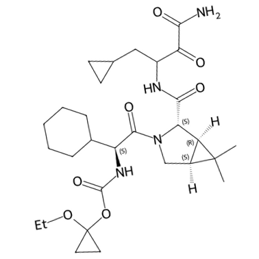 CCOC1(OC(=O)N[C@H](C(=O)N2C[C@H]3[C@@H]([C@H]2C(=O)NC(CC2CC2)C(=O)C(N)=O)C3(C)C)C2CCCCC2)CC1